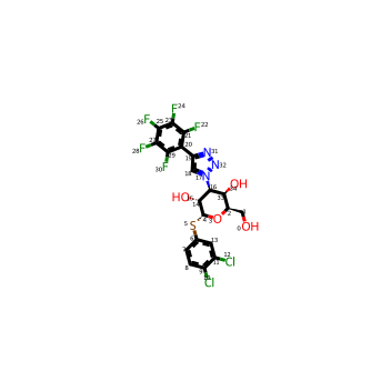 OC[C@H]1O[C@H](Sc2ccc(Cl)c(Cl)c2)[C@H](O)[C@@H](n2cc(-c3c(F)c(F)c(F)c(F)c3F)nn2)[C@H]1O